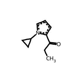 CCC(=O)c1cccn1C1CC1